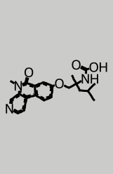 CC(C)CC(C)(COc1ccc2c(c1)c(=O)n(C)c1cnccc21)NC(=O)O